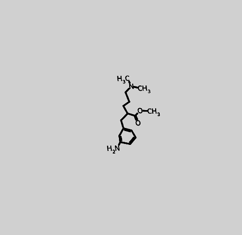 COC(=O)C(CCCN(C)C)Cc1cccc(N)c1